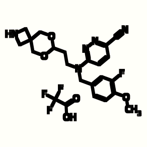 COc1ccc(CN(CCC2OCC3(CNC3)CO2)c2ccc(C#N)nn2)cc1F.O=C(O)C(F)(F)F